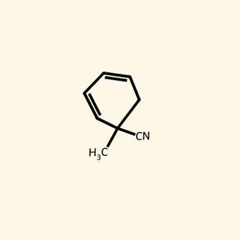 CC1(C#N)C=CC=CC1